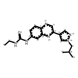 CCNC(=O)Nc1ccc2ncc(-c3cnn(CC(C)C)c3)nc2c1